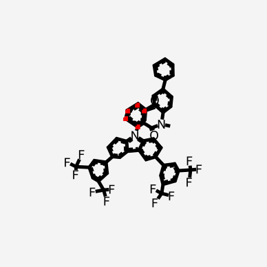 CN(C(=O)c1c(C=O)cccc1-n1c2ccc(-c3cc(C(F)(F)F)cc(C(F)(F)F)c3)cc2c2cc(-c3cc(C(F)(F)F)cc(C(F)(F)F)c3)ccc21)c1ccc(-c2ccccc2)cc1-c1ccccc1